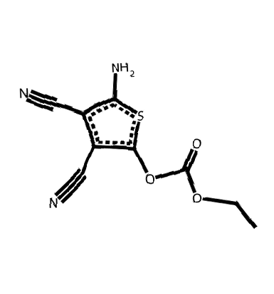 CCOC(=O)Oc1sc(N)c(C#N)c1C#N